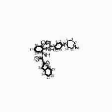 CN1CCCN(c2ccc(C(=O)Nc3c(O)cccc3NC(=O)c3cc4ccccc4o3)cc2)CC1